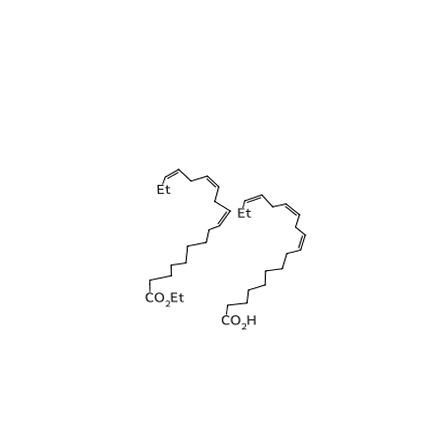 CC/C=C\C/C=C\C/C=C\CCCCCCCC(=O)O.CC/C=C\C/C=C\C/C=C\CCCCCCCC(=O)OCC